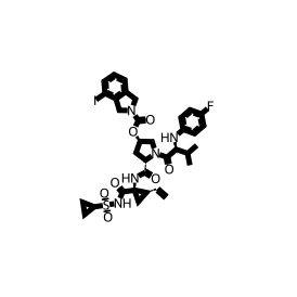 C=C[C@@H]1C[C@]1(NC(=O)[C@@H]1C[C@@H](OC(=O)N2Cc3cccc(I)c3C2)CN1C(=O)[C@@H](Nc1ccc(F)cc1)C(C)C)C(=O)NS(=O)(=O)C1CC1